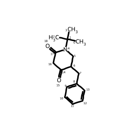 CC(C)(C)N1CC(Cc2ccccc2)C(=O)CC1=O